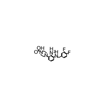 Nc1c(NCc2ccc(F)c(F)c2)cccc1N1CCN(C(=O)O)CC1